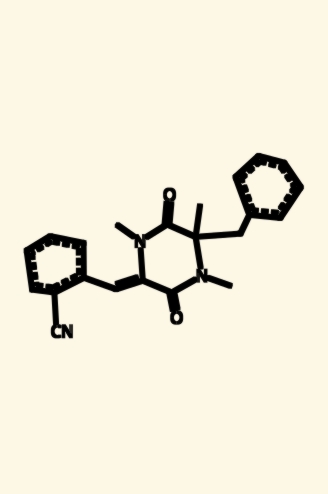 CN1C(=O)C(C)(Cc2ccccc2)N(C)C(=O)C1=Cc1ccccc1C#N